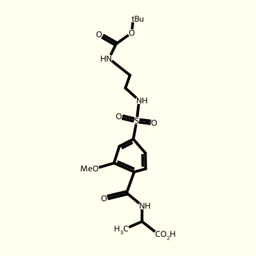 COc1cc(S(=O)(=O)NCCNC(=O)OC(C)(C)C)ccc1C(=O)NC(C)C(=O)O